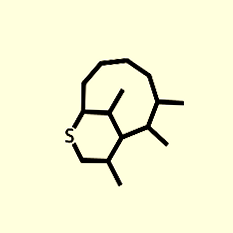 CC1CCCCC2SCC(C)C(C1C)C2C